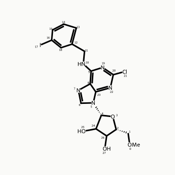 COC[C@H]1O[C@@H](n2cnc3c(NCc4cccc(I)c4)nc(Cl)nc32)C(O)C1O